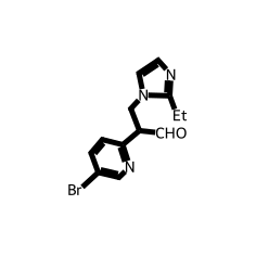 CCc1nccn1CC(C=O)c1ccc(Br)cn1